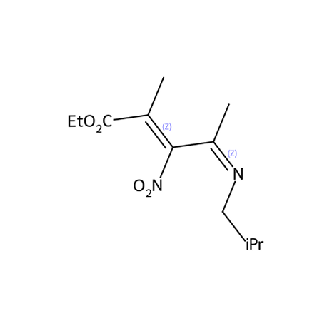 CCOC(=O)/C(C)=C(/C(C)=N\CC(C)C)[N+](=O)[O-]